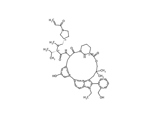 C=CC(=O)N1CC[C@H](CN(C)[C@H](C(=O)NC2Cc3cc(O)cc(c3)-c3ccc4c(c3)c(c(-c3ccccc3CO)n4CC)CC(C)(C)COC(=O)[C@@H]3CCCN(N3)C2=O)C(C)C)C1